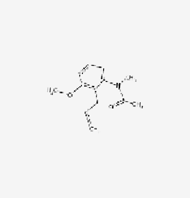 C=CCc1c(OC)cccc1N(C)C(C)=O